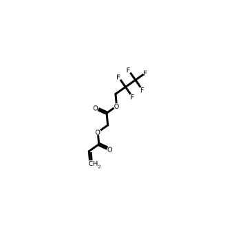 C=CC(=O)OCC(=O)OCC(F)(F)C(F)(F)F